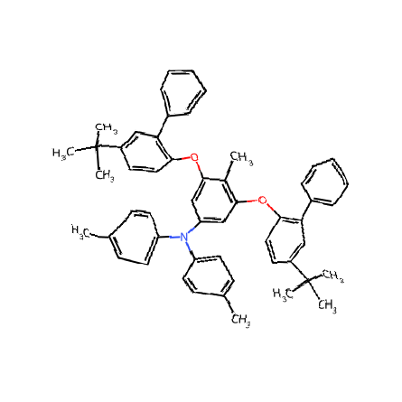 Cc1ccc(N(c2ccc(C)cc2)c2cc(Oc3ccc(C(C)(C)C)cc3-c3ccccc3)c(C)c(Oc3ccc(C(C)(C)C)cc3-c3ccccc3)c2)cc1